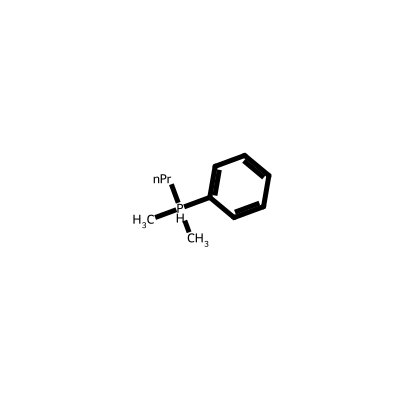 CCC[PH](C)(C)c1ccccc1